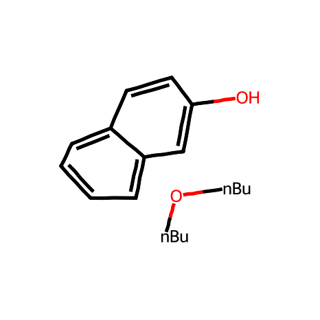 CCCCOCCCC.Oc1ccc2ccccc2c1